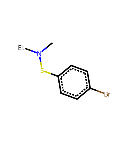 CCN(C)Sc1ccc(Br)cc1